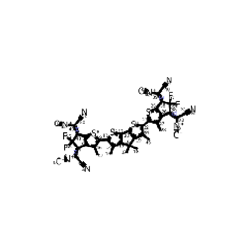 [C-]#[N+]/C(C#N)=C1/c2c(sc(-c3sc4c(c3C)C(C)(C)c3c-4sc(-c4sc5c(c4C)/C(=C(/C#N)[N+]#[C-])C(F)(F)/C5=C(\C#N)[N+]#[C-])c3C)c2C)/C(=C(\C#N)[N+]#[C-])C1(F)F